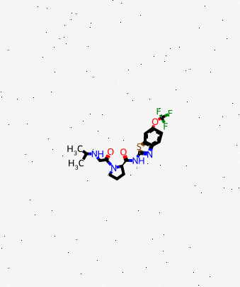 CC(C)NCC(=O)N1CCC[C@@H]1C(=O)Nc1nc2ccc(OC(F)(F)F)cc2s1